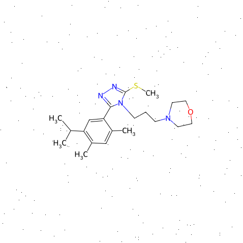 CSc1nnc(-c2cc(C(C)C)c(C)cc2C)n1CCCN1CCOCC1